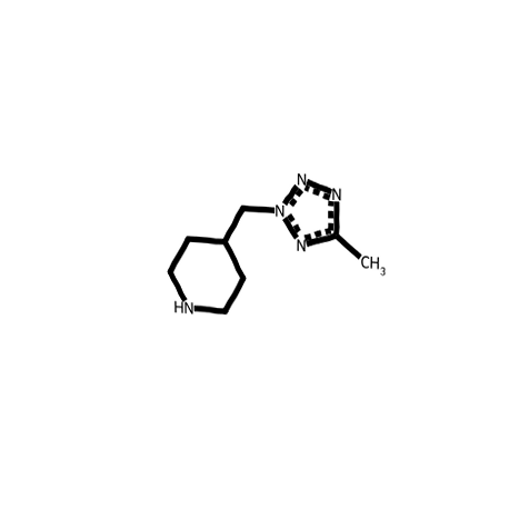 Cc1nnn(CC2CCNCC2)n1